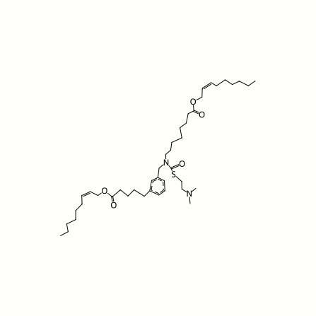 CCCCCC/C=C\COC(=O)CCCCCCCN(Cc1cccc(CCCCC(=O)OC/C=C\CCCCCC)c1)C(=O)SCCN(C)C